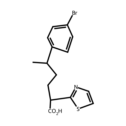 CC(CCC(C(=O)O)c1nccs1)c1ccc(Br)cc1